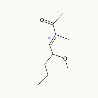 CCCC(/C=C(\C)C(C)=O)OC